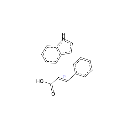 O=C(O)/C=C/c1ccccc1.c1ccc2[nH]ccc2c1